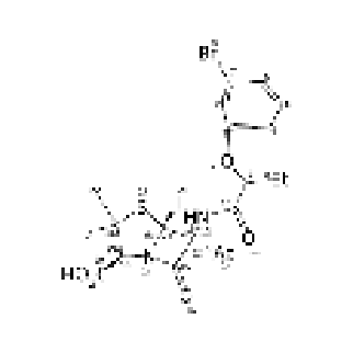 CCC(Oc1cccc(Br)c1)C(=O)N[C@@]1(C(C)=O)C(=O)N2[C@@H](C(=O)O)C(C)(C)S[C@@H]21